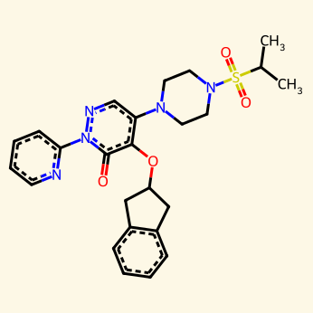 CC(C)S(=O)(=O)N1CCN(c2cnn(-c3ccccn3)c(=O)c2OC2Cc3ccccc3C2)CC1